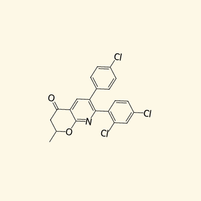 CC1CC(=O)c2cc(-c3ccc(Cl)cc3)c(-c3ccc(Cl)cc3Cl)nc2O1